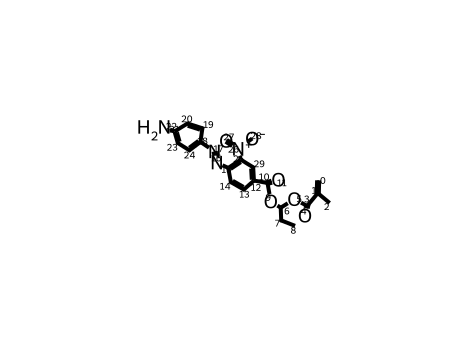 C=C(C)C(=O)OC(CC)OC(=O)c1ccc(N=Nc2ccc(N)cc2)c([N+](=O)[O-])c1